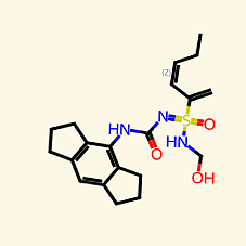 C=C(/C=C\CC)S(=O)(=NC(=O)Nc1c2c(cc3c1CCC3)CCC2)NCO